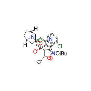 CC(C)COC(=O)c1cn(C)c2cc(N3[C@@H]4CC[C@H]3C[C@@H](OC(=O)C3C(c5c(Cl)cccc5Cl)=NOC3C3CC3)C4)ccc12